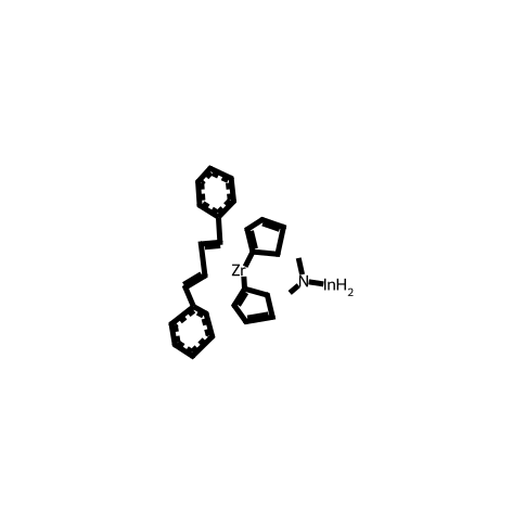 C(C=Cc1ccccc1)=Cc1ccccc1.C1=CC[C]([Zr][C]2=CC=CC2)=C1.C[N](C)[InH2]